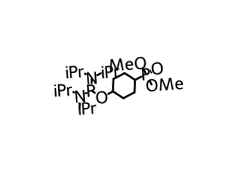 COP(=O)(OC)C1CCC(OP(N(C(C)C)C(C)C)N(C(C)C)C(C)C)CC1